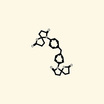 O=C1CCC2(CCC(=O)N2c2ccc(Cc3ccc(N4C(=O)CCC45CCC(=O)O5)cc3)cc2)O1